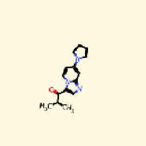 CC(C)C(=O)c1cnc2cc(N3CCCC3)ccn12